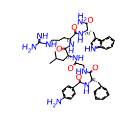 CC(C)C[C@H](NC(=O)CNC(=O)[C@H](Cc1ccccc1)NC(=O)c1ccc(N)cc1)C(=O)N[C@@H](CCCNC(=N)N)C(=O)N[C@@H](Cc1c[nH]c2ccccc12)C(N)=O